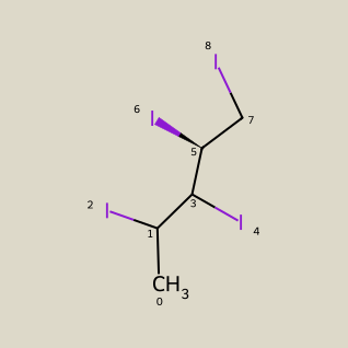 CC(I)C(I)[C@@H](I)CI